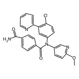 COc1ccc(N(C(=O)c2ccc(C(N)=O)cc2)c2ccc(Cl)c(-c3ccccn3)c2)cn1